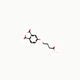 O=C(O)CCCOc1ccc2c(c1)C(=O)OC2=O